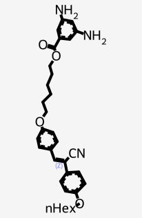 CCCCCCOc1ccc(/C(C#N)=C/c2ccc(OCCCCCCOC(=O)c3cc(N)cc(N)c3)cc2)cc1